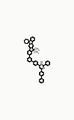 CC1(C)C2=CC3c4ccccc4C4(CCCCC4)C3C=C2c2ccc(-c3cccc(-c4ccc(C5C=C(c6ccc(-c7ccccc7)cc6)N=C(c6ccccc6)N5)cc4)c3)cc21